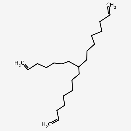 C=CCCCCCCC(CCCCCC=C)CCCCCCC=C